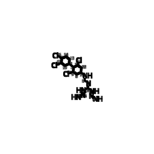 N=NNC(=NCNc1cc(Cl)c(-c2ccc(Cl)c(Cl)c2)c(Cl)c1)NN=N